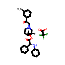 O=C(C[N+]12CCC(CC1)[C@@H](OC(=O)[C@H](Nc1ccccc1)c1ccccc1)C2)c1cccc([N+](=O)[O-])c1.O=C([O-])C(F)(F)F